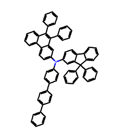 c1ccc(-c2ccc(-c3ccc(N(c4ccc5c(c4)C(c4ccccc4)(c4ccccc4)c4ccccc4-5)c4ccc5c(c4)c(-c4ccccc4)c(-c4ccccc4)c4ccccc45)cc3)cc2)cc1